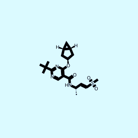 C[C@@H](/C=C/S(C)(=O)=O)NC(=O)c1cnc(C(C)(C)C)nc1O[C@H]1C[C@@H]2C[C@@H]2C1